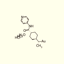 C[C@@H]([Au])[C@H]1CC[C@H](C(=O)Nc2ccncc2)CC1.Cl.Cl.O